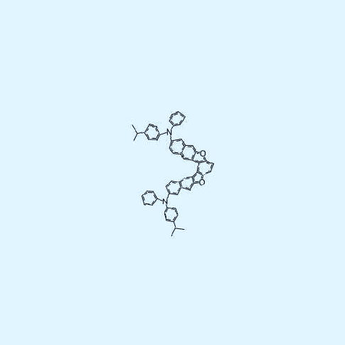 CC(C)c1ccc(N(c2ccccc2)c2ccc3cc4c(cc3c2)oc2ccc3oc5cc6cc(N(c7ccccc7)c7ccc(C(C)C)cc7)ccc6cc5c3c24)cc1